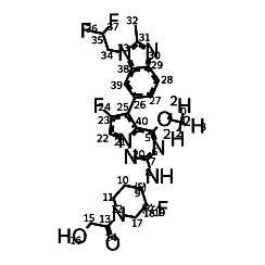 [2H]C([2H])([2H])Oc1nc(N[C@H]2CCN(C(=O)CO)C[C@H]2F)nn2cc(F)c(-c3ccc4nc(C)n(CC(F)F)c4c3)c12